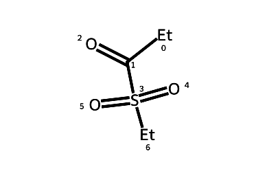 CCC(=O)S(=O)(=O)CC